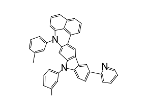 Cc1cccc(N2c3cc4c(cc3-c3cccc5cccc2c35)c2cc(-c3ccccn3)ccc2n4-c2cccc(C)c2)c1